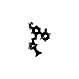 Cc1nccnc1-c1ccc(OC(C)C)cc1OCc1nc(C2CC2)no1